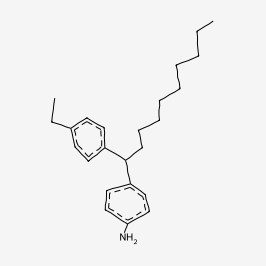 CCCCCCCCCC(c1ccc(N)cc1)c1ccc(CC)cc1